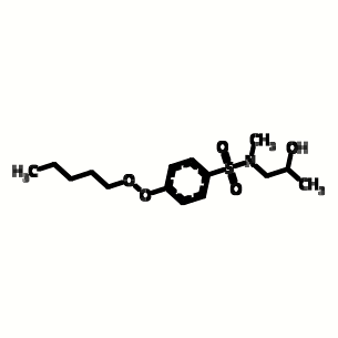 CCCCCOOc1ccc(S(=O)(=O)N(C)CC(C)O)cc1